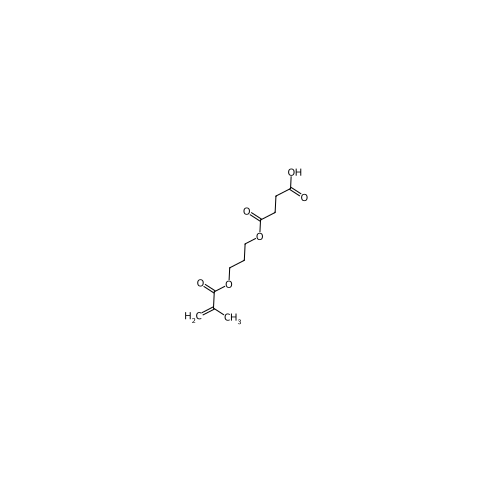 C=C(C)C(=O)OCCCOC(=O)CCC(=O)O